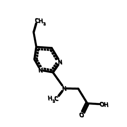 CCc1cnc(N(C)CC(=O)O)nc1